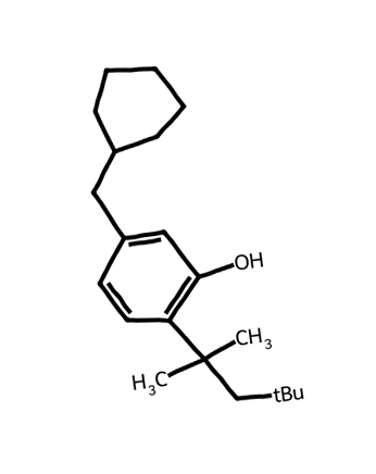 CC(C)(C)CC(C)(C)c1ccc(CC2CCCCC2)cc1O